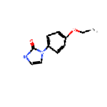 O=c1[nH]ccn1-c1ccc(OCC(F)(F)F)cc1